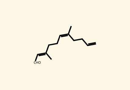 C=CCCC(C)=CCC/C(C)=C/C=O